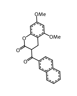 COc1cc(OC)c2c(c1)OC(=O)C(C(=O)c1ccc3ccccc3c1)C2